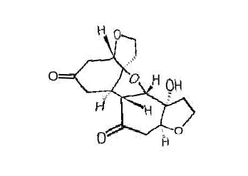 O=C1C[C@@H]2OCC[C@@]23O[C@H]2[C@H](C(=O)C[C@@H]4OCC[C@@]42O)[C@H]3C1